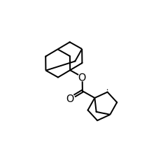 O=C(OC12CC3CC(CC(C3)C1)C2)C12[CH]CC(CC1)C2